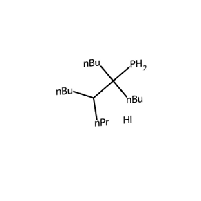 CCCCC(CCC)C(P)(CCCC)CCCC.I